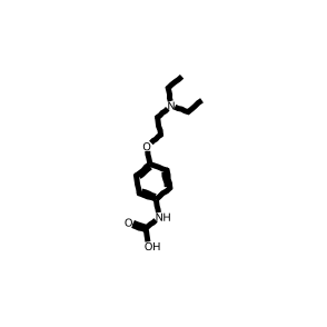 CCN(CC)CCOc1ccc(NC(=O)O)cc1